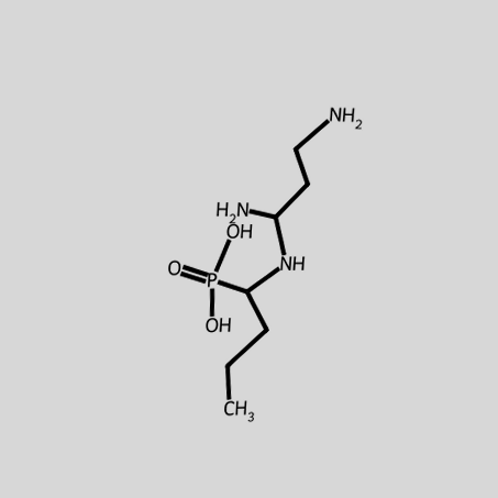 CCCC(NC(N)CCN)P(=O)(O)O